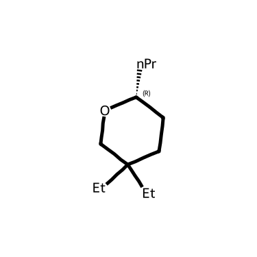 CCC[C@@H]1CCC(CC)(CC)CO1